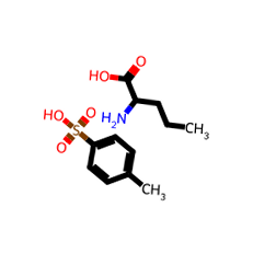 CCCC(N)C(=O)O.Cc1ccc(S(=O)(=O)O)cc1